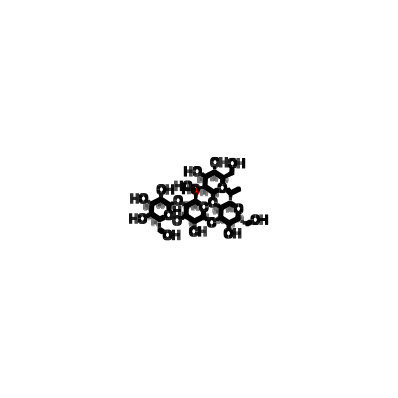 CC(C)[C@@H]1O[C@H](CO)[C@@H](O)[C@H](O[C@@H]2O[C@H](CO)[C@@H](O[C@@H]3O[C@H](CO)[C@@H](O)[C@H](O)[C@H]3O)[C@H](O)[C@H]2O)[C@H]1O[C@@H]1O[C@H](CO)[C@@H](O)[C@H](O)[C@H]1O